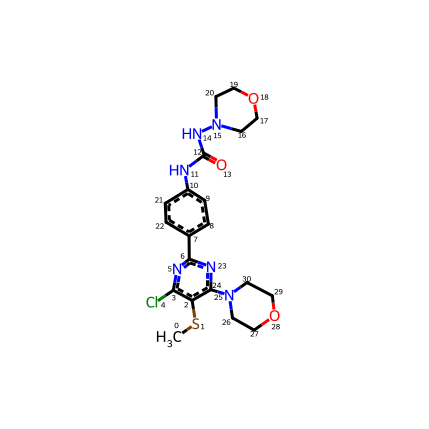 CSc1c(Cl)nc(-c2ccc(NC(=O)NN3CCOCC3)cc2)nc1N1CCOCC1